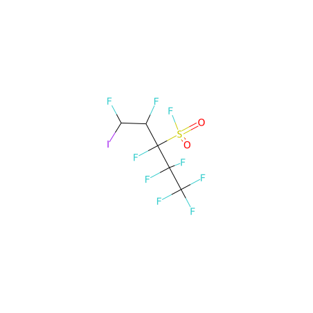 O=S(=O)(F)C(F)(C(F)C(F)I)C(F)(F)C(F)(F)F